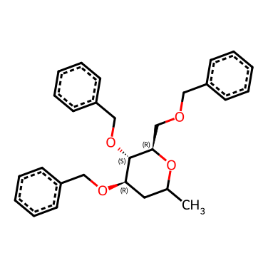 CC1C[C@@H](OCc2ccccc2)[C@H](OCc2ccccc2)[C@@H](COCc2ccccc2)O1